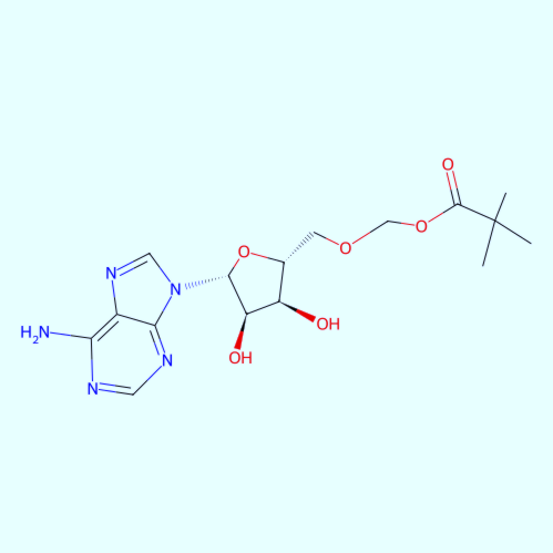 CC(C)(C)C(=O)OCOC[C@H]1O[C@@H](n2cnc3c(N)ncnc32)[C@H](O)[C@@H]1O